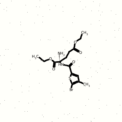 CCOC(=O)CC[C@@](N)(NC(=O)c1cc(C)c(Br)s1)C(=O)OCC